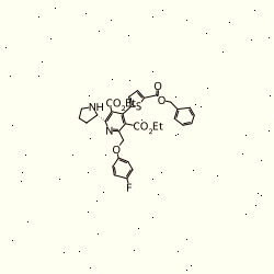 CCOC(=O)c1c(COc2ccc(F)cc2)nc([C@@H]2CCCN2)c(C(=O)OCC)c1-c1ccc(C(=O)OCc2ccccc2)s1